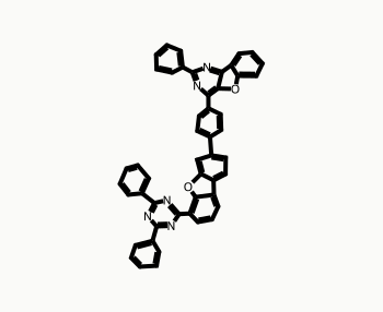 c1ccc(-c2nc(-c3ccccc3)nc(-c3cccc4c3oc3cc(-c5ccc(-c6nc(-c7ccccc7)nc7c6oc6ccccc67)cc5)ccc34)n2)cc1